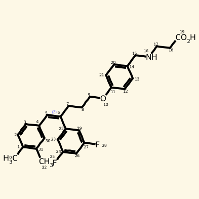 Cc1ccc(/C=C(/CCCOc2ccc(CNCCC(=O)O)cc2)c2cc(F)cc(F)c2)cc1C